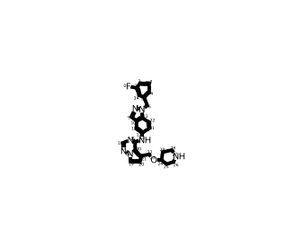 Fc1cccc(Cn2ncc3cc(Nc4ncnn5ccc(COC6CCNCC6)c45)ccc32)c1